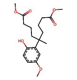 COC(=O)CCCC(C)(CCCC(=O)OC)c1cc(OC)ccc1O